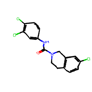 O=C(Nc1ccc(Cl)c(Cl)c1)N1CCc2ccc(Cl)cc2C1